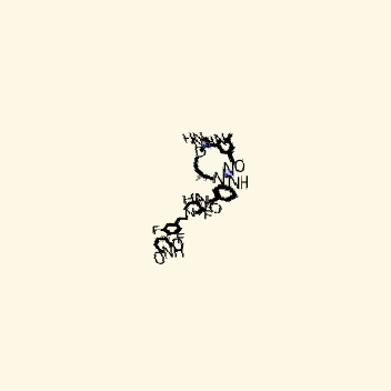 CN/C1=C(\C=N)c2cc(cc(C)n2)C(=O)/N=C2\Nc3ccc(C(=O)N[C@@H]4CCN(CCc5cc(F)c([C@H]6CCC(=O)NC6=O)c(F)c5)CC4(F)F)cc3N2C[C@H](C)CCCO1